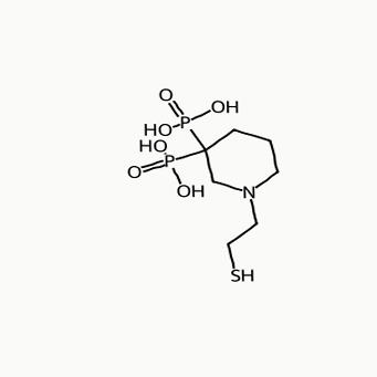 O=P(O)(O)C1(P(=O)(O)O)CCCN(CCS)C1